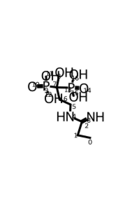 CCC(=N)NCCC(O)(P(=O)(O)O)P(=O)(O)O